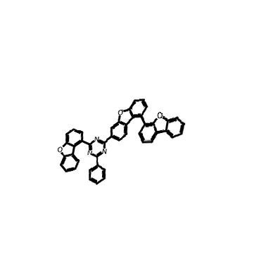 c1ccc(-c2nc(-c3ccc4c(c3)oc3cccc(-c5cccc6c5oc5ccccc56)c34)nc(-c3cccc4oc5ccccc5c34)n2)cc1